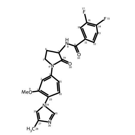 COc1cc(N2CCC(NC(=O)c3ccc(F)c(F)c3)C2=O)ccc1-n1cnc(C)c1